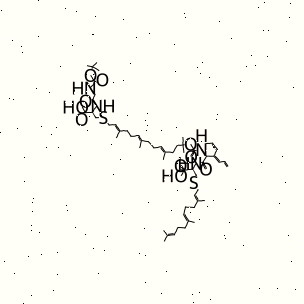 C=C/C=C(\C=C/C)[C@H](NC(=O)OC(C)(C)CC/C(C)=C/CC/C(C)=C/CC/C(C)=C/CSC[C@H](NC(=O)CNC(=O)OC(C)(C)C)C(=O)O)C(=O)N[C@@H](CSC/C=C(\C)CC/C=C(\C)CCC=C(C)C)C(=O)O